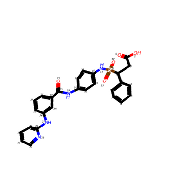 O=C(O)CC(c1ccccc1)S(=O)(=O)Nc1ccc(NC(=O)c2cccc(Nc3ccccn3)c2)cc1